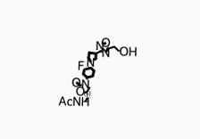 CC(=O)NC[C@H]1CN(c2ccc(-n3ccc(-c4noc(CCO)n4)c3)c(F)c2)C(=O)O1